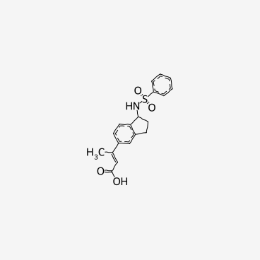 CC(=CC(=O)O)c1ccc2c(c1)CCC2NS(=O)(=O)c1ccccc1